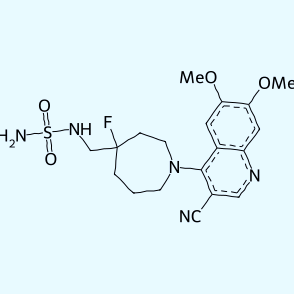 COc1cc2ncc(C#N)c(N3CCCC(F)(CNS(N)(=O)=O)CC3)c2cc1OC